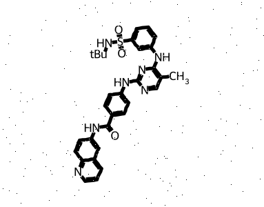 Cc1cnc(Nc2ccc(C(=O)Nc3ccc4ncccc4c3)cc2)nc1Nc1cccc(S(=O)(=O)NC(C)(C)C)c1